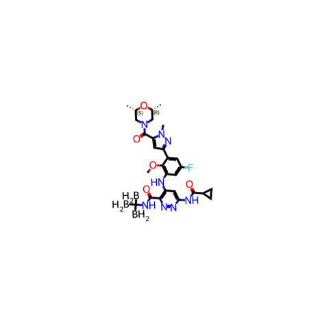 BC(B)(B)NC(=O)c1nnc(NC(=O)C2CC2)cc1Nc1cc(F)cc(-c2cc(C(=O)N3C[C@@H](C)O[C@@H](C)C3)n(C)n2)c1OC